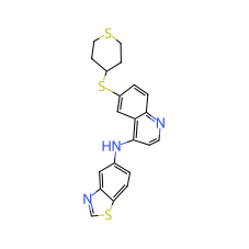 c1cc(Nc2ccc3scnc3c2)c2cc(SC3CCSCC3)ccc2n1